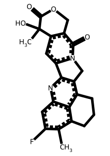 Cc1c(F)cc2nc3c(c4c2c1CCC4)Cn1c-3cc2c(c1=O)COC(=O)C2(C)O